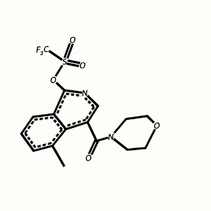 Cc1cccc2c(OS(=O)(=O)C(F)(F)F)ncc(C(=O)N3CCOCC3)c12